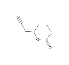 C#CCC1CCOC(=O)O1